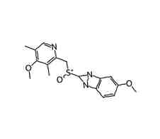 COc1ccc2c(c1)n1n2C1[S+]([O-])Cc1ncc(C)c(OC)c1C